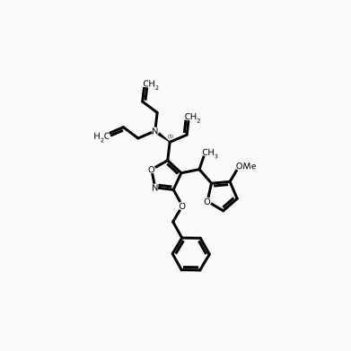 C=CCN(CC=C)[C@@H](C=C)c1onc(OCc2ccccc2)c1C(C)c1occc1OC